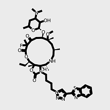 CC[C@H]1OC(=O)C(C)(F)C(=O)C[C@@H](O[C@@H]2OC(C)CC(N(C)C)C2O)[C@](C)(OC)C[C@@H](C)CN[C@H](C)[C@H]2N(CCCCn3cc(-c4nc5ccccc5s4)nn3)C(=O)O[C@]12C